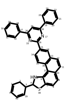 C1=CCC(C2Nc3c(ccc4ccc5cc(-c6nc(-c7ccccc7)cc(-c7ccccc7)n6)ccc5c34)S2)C=C1